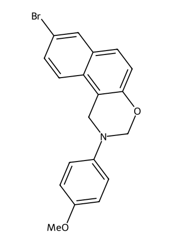 COc1ccc(N2COc3ccc4cc(Br)ccc4c3C2)cc1